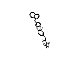 CS(=O)(=O)NC(=O)Cc1cccc(Oc2ccc(Oc3cccc4ccncc34)cc2C(F)(F)F)c1